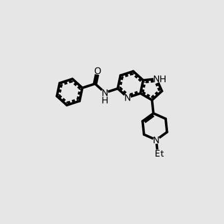 CCN1CC=C(c2c[nH]c3ccc(NC(=O)c4ccccc4)nc23)CC1